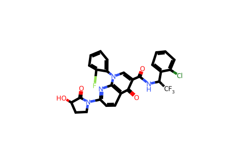 O=C(NC(c1ccccc1Cl)C(F)(F)F)c1cn(-c2ccccc2F)c2nc(N3CCC(O)C3=O)ccc2c1=O